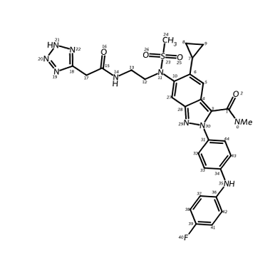 CNC(=O)c1c2cc(C3CC3)c(N(CCNC(=O)Cc3nn[nH]n3)S(C)(=O)=O)cc2nn1-c1ccc(Nc2ccc(F)cc2)cc1